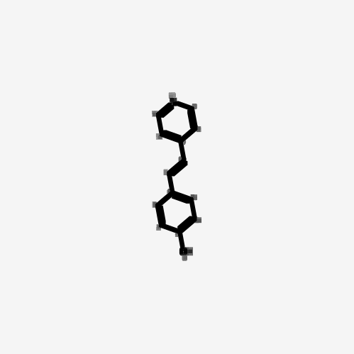 Oc1ccc(C=Cc2ccncc2)cc1